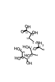 CC(N)=O.CC(O)CO.CCC(O)C(=O)O.OCC(O)CO